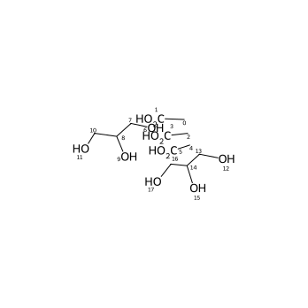 CC(=O)O.CC(=O)O.CC(=O)O.OCC(O)CO.OCC(O)CO